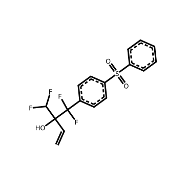 C=CC(O)(C(F)F)C(F)(F)c1ccc(S(=O)(=O)c2ccccc2)cc1